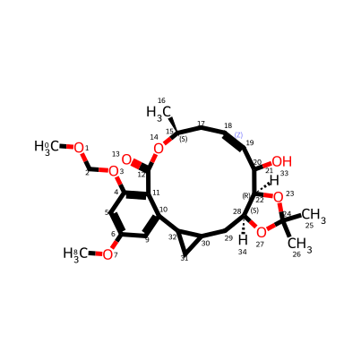 COCOc1cc(OC)cc2c1C(=O)O[C@@H](C)C/C=C\C(O)[C@H]1OC(C)(C)O[C@H]1CC1CC21